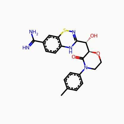 Cc1ccc(N2CCO[C@H]([C@@H](O)C3=NSc4cc(C(=N)N)ccc4N3)C2=O)cc1